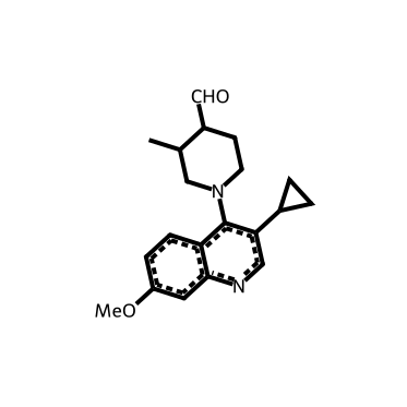 COc1ccc2c(N3CCC(C=O)C(C)C3)c(C3CC3)cnc2c1